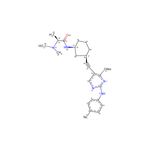 COc1nc(Nc2ccc(C#N)cc2)ncc1C#C[C@@H]1CCC[C@H](NC(=O)[C@H](C)N(C)C(=O)O)C1